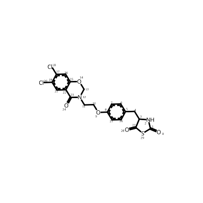 O=C1NC(Cc2ccc(OCCN3COc4cc(Cl)c(Cl)cc4C3=O)cc2)C(=O)S1